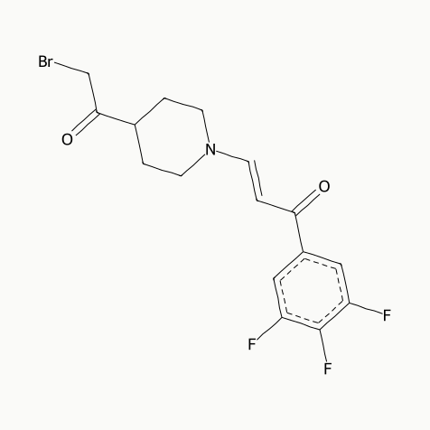 O=C(C=CN1CCC(C(=O)CBr)CC1)c1cc(F)c(F)c(F)c1